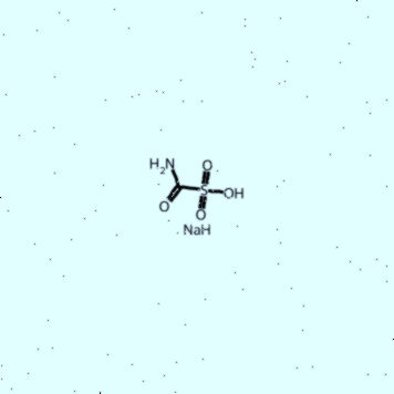 NC(=O)S(=O)(=O)O.[NaH]